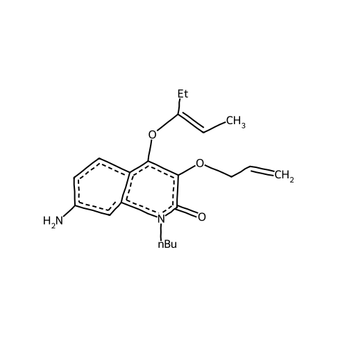 C=CCOc1c(OC(=CC)CC)c2ccc(N)cc2n(CCCC)c1=O